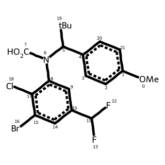 COc1ccc(C(N(C(=O)O)c2cc(C(F)F)cc(Br)c2Cl)C(C)(C)C)cc1